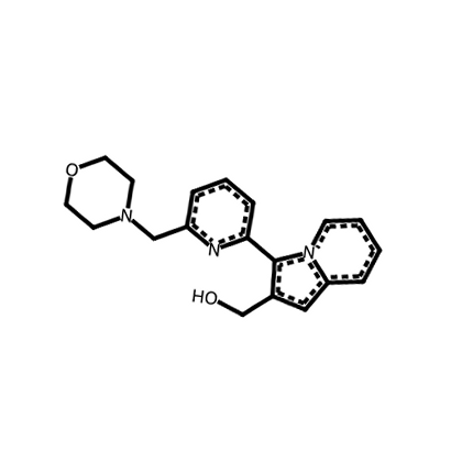 OCc1cc2ccccn2c1-c1cccc(CN2CCOCC2)n1